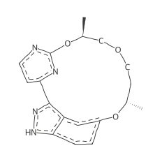 C[C@H]1CCOC[C@H](C)Oc2nccc(n2)-c2n[nH]c3ccc(cc23)O1